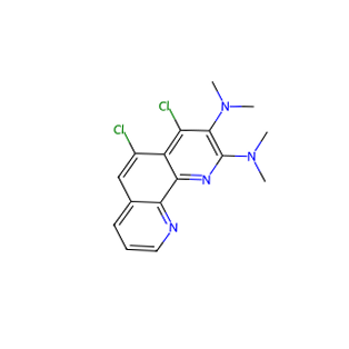 CN(C)c1nc2c(c(Cl)cc3cccnc32)c(Cl)c1N(C)C